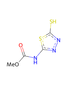 COC(=O)Nc1nnc(S)s1